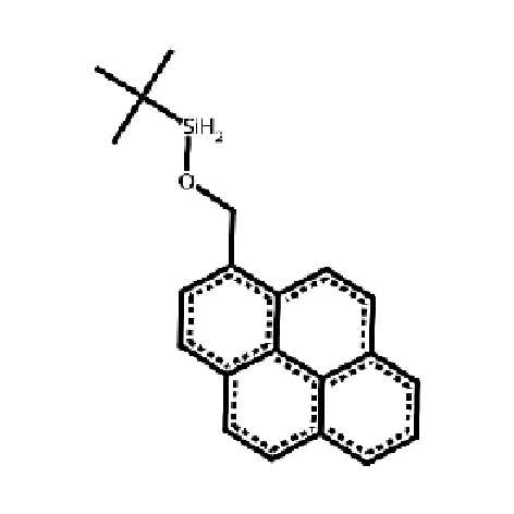 CC(C)(C)[SiH2]OCc1ccc2ccc3cccc4ccc1c2c34